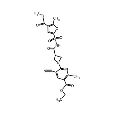 CCOC(=O)c1cc(C#N)c(N2CC(C(=O)NS(=O)(=O)c3cc(C(=O)OC)c(C)o3)C2)nc1C